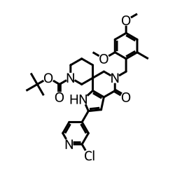 COc1cc(C)c(CN2CC3(CCCN(C(=O)OC(C)(C)C)C3)c3[nH]c(-c4ccnc(Cl)c4)cc3C2=O)c(OC)c1